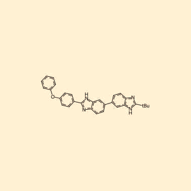 CC(C)(C)c1nc2ccc(-c3ccc4nc(-c5ccc(Oc6ccccc6)cc5)[nH]c4c3)cc2[nH]1